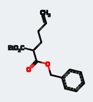 C=CCCC(C(=O)OCC)C(=O)OCc1ccccc1